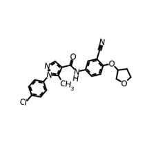 Cc1c(C(=O)Nc2ccc(OC3CCOC3)c(C#N)c2)cnn1-c1ccc(Cl)cc1